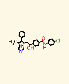 CC1=C(c2ccccc2)C(CC(O)c2ccc(C(=O)Nc3ccc(Cl)cc3)cc2)n2cncc21